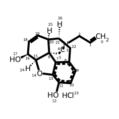 C=CCN1CC[C@]23c4c5ccc(O)c4O[C@H]2[C@@H](O)C=C[C@H]3[C@H]1C5.Cl